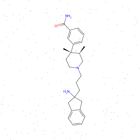 C[C@H]1CN(CCCC2(N)Cc3ccccc3C2)CC[C@]1(C)c1cccc(C(N)=O)c1